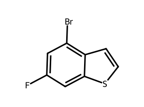 Fc1cc(Br)c2ccsc2c1